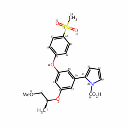 COC[C@H](C)Oc1cc(Oc2ccc(S(C)(=O)=O)cc2)cc(-c2cccn2C(=O)O)c1